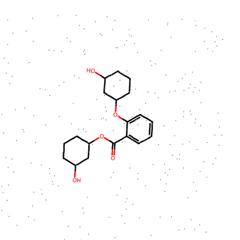 O=C(OC1CCCC(O)C1)c1ccccc1OC1CCCC(O)C1